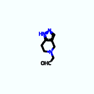 O=CCN1CCc2[nH]ncc2C1